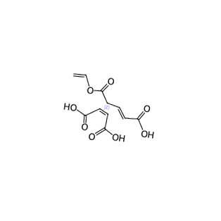 C=COC(=O)CC=CC(=O)O.O=C(O)/C=C\C(=O)O